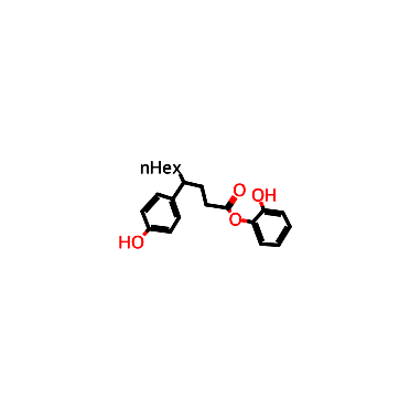 CCCCCCC(CCC(=O)Oc1ccccc1O)c1ccc(O)cc1